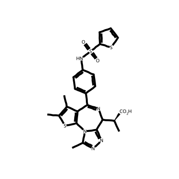 Cc1sc2c(c1C)C(c1ccc(NS(=O)(=O)c3cccs3)cc1)=NC([C@H](C)C(=O)O)c1nnc(C)n1-2